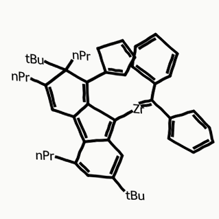 CCCC1=CC2=c3c(CCC)cc(C(C)(C)C)cc3=[C]([Zr]=[C](c3ccccc3)c3ccccc3)C2=C(C2=CC=CC2)C1(CCC)C(C)(C)C